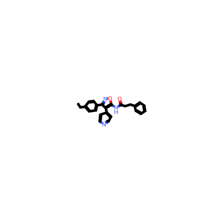 CCc1ccc(-c2noc(NC(=O)CCc3ccccc3)c2-c2ccncc2)cc1